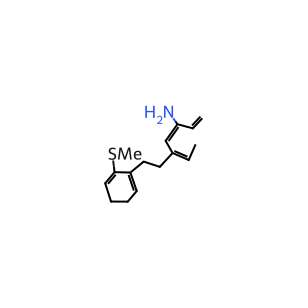 C=C/C(N)=C\C(=C/C)CCC1=CCCC=C1SC